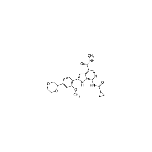 CNC(=O)c1cnc(NC(=O)C2CC2)c2[nH]c(-c3ccc(C4COCCO4)cc3OC)cc12